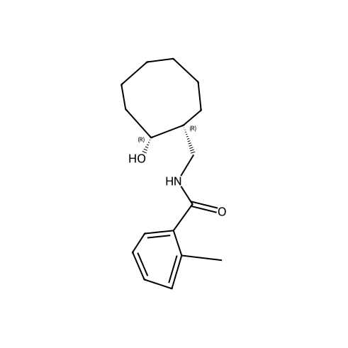 Cc1ccccc1C(=O)NC[C@H]1CCCCCC[C@H]1O